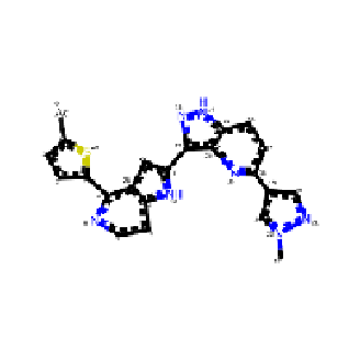 CC(=O)c1ccc(-c2nccc3[nH]c(-c4n[nH]c5ccc(-c6cnn(C)c6)nc45)cc23)s1